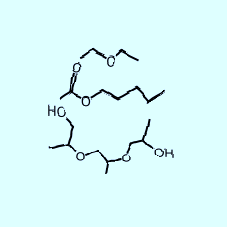 CC(O)COC(C)COC(C)CO.CCCCCOC(C)=O.CCOCC